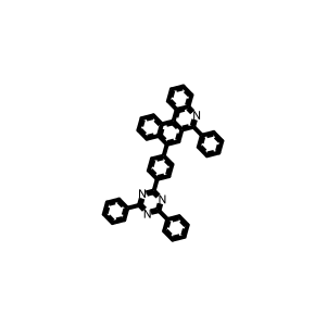 c1ccc(-c2nc(-c3ccccc3)nc(-c3ccc(-c4cc5c(-c6ccccc6)nc6ccccc6c5c5ccccc45)cc3)n2)cc1